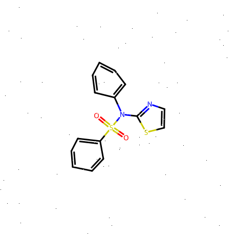 O=S(=O)(c1ccccc1)N(c1ccccc1)c1nccs1